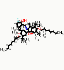 CCCCCCCCOc1c(C(C)(C)C)cc(C(O)(c2cc(C(C)(C)C)c(OCCCCCCCC)c(C(C)(C)C)c2)C(N=Cc2cccc(F)c2O)C(C)C)cc1C(C)(C)C